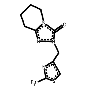 O=c1n(Cc2csc(C(F)(F)F)n2)nc2n1CCCC2